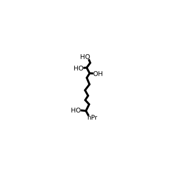 CCCC(O)CCCCCCC(O)C(O)CO